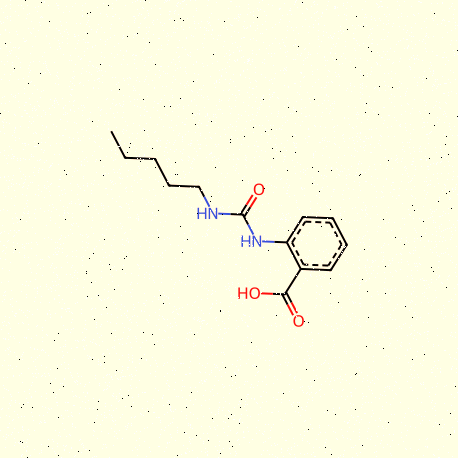 CCCCCNC(=O)Nc1ccccc1C(=O)O